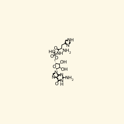 Nc1nc2c(ncn2[C@@H]2O[C@H](COP(=O)(O)NC(=O)[C@@H](N)Cc3c[nH]cn3)[C@@H](O)[C@H]2O)c(=O)[nH]1